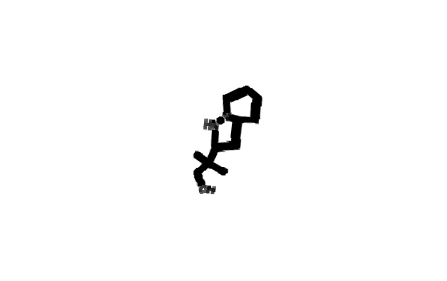 CC(C)(CO)C1C=C2C=CC=CN2N1